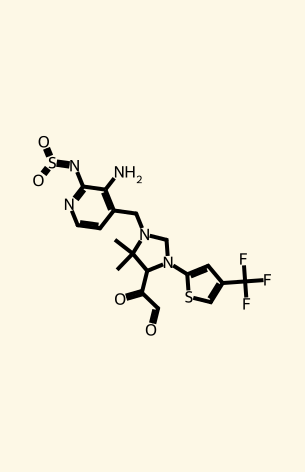 CC1(C)C(C(=O)C=O)N(c2cc(C(F)(F)F)cs2)CN1Cc1ccnc(N=S(=O)=O)c1N